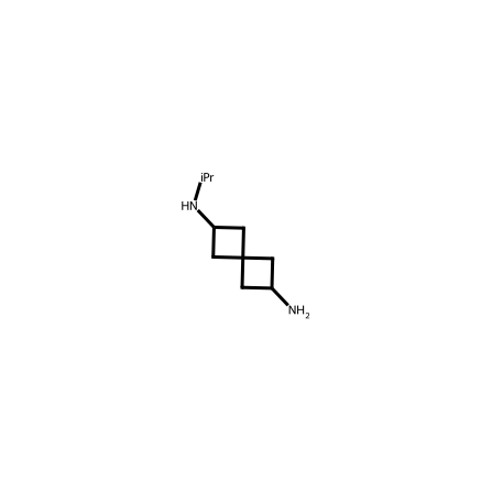 CC(C)NC1CC2(CC(N)C2)C1